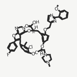 COc1ccccc1-c1nccc(COc2ccc3cc2C[C@H](C(=O)O)Oc2ncnc4oc(-c5ccc(F)cc5)c(c24)-c2ccc(c(Cl)c2C)OC[C@H](CN2CCN(C)CC2)O3)n1